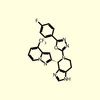 Fc1ccc(-c2nnc(N3CCc4[nH]cnc4[C@@H]3c3cc4c(C(F)(F)F)cccn4n3)o2)cc1